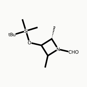 CC1C(O[Si](C)(C)C(C)(C)C)[C@H](C)N1C=O